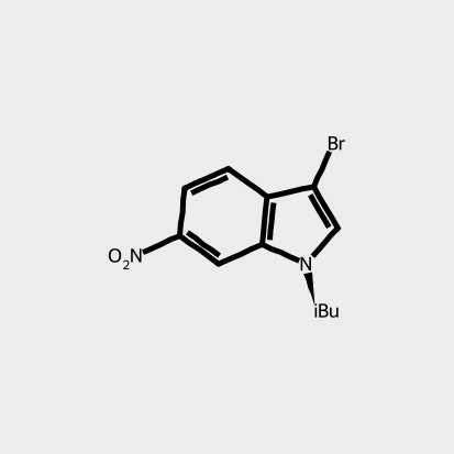 CC[C@H](C)n1cc(Br)c2ccc([N+](=O)[O-])cc21